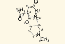 CN1CC[C@H](Oc2nnc(Cl)cc2C(N)=O)[C@H](F)C1